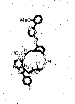 COc1ccccc1-c1nccc(COc2ccc3cc2C[C@H](C(=O)O)Oc2ncnc4sc(-c5ccc(F)cc5)c(c24)-c2ccc(c(Cl)c2C)CNC3)n1